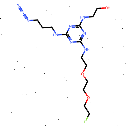 [N-]=[N+]=NCCCNc1nc(NCCO)nc(NCCOCCOCCF)n1